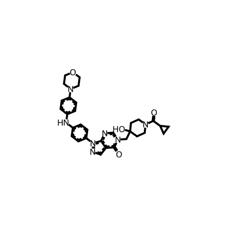 O=C(C1CC1)N1CCC(O)(Cn2cnc3c(cnn3-c3ccc(Nc4ccc(N5CCOCC5)cc4)cc3)c2=O)CC1